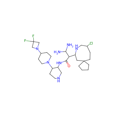 NC(N)C(C(=O)NC1CNCCC1N1CCC(N2CC(F)(F)C2)CC1)C1CC2(CCCC2)CCC(Cl)CN1